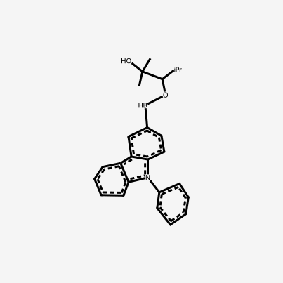 CC(C)C(OBc1ccc2c(c1)c1ccccc1n2-c1ccccc1)C(C)(C)O